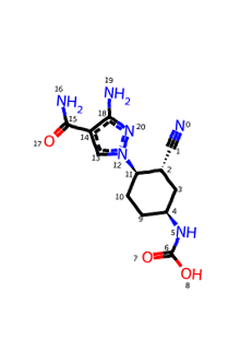 N#C[C@@H]1C[C@@H](NC(=O)O)CC[C@H]1n1cc(C(N)=O)c(N)n1